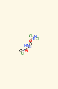 O=C(/C=C/c1ccccc1Cl)CCc1nc2ccc(OCCc3nc(Cl)ncc3Cl)cc2[nH]1